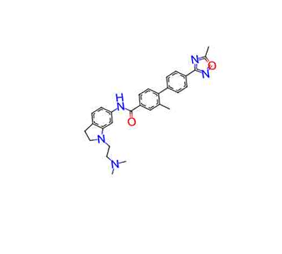 Cc1nc(-c2ccc(-c3ccc(C(=O)Nc4ccc5c(c4)N(CCN(C)C)CC5)cc3C)cc2)no1